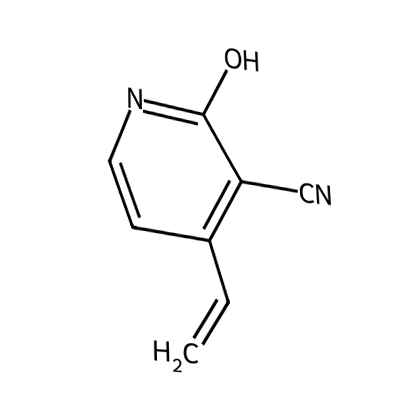 C=Cc1ccnc(O)c1C#N